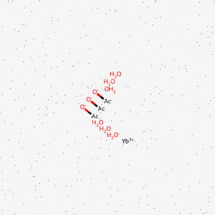 CC(=O)[O-].CC(=O)[O-].CC(=O)[O-].O.O.O.O.O.O.[Yb+3]